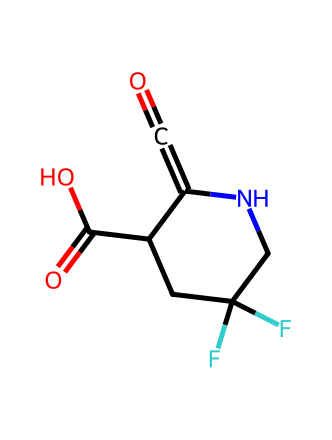 O=C=C1NCC(F)(F)CC1C(=O)O